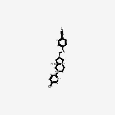 N#Cc1ccc(OC[C@H]2C[C@H]3CN(c4ccc(Cl)cn4)CCN3C2)cc1